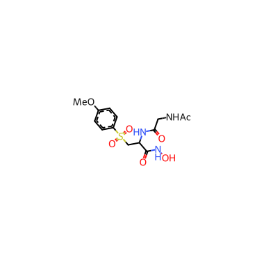 COc1ccc(S(=O)(=O)CC(NC(=O)CNC(C)=O)C(=O)NO)cc1